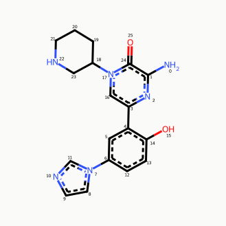 Nc1nc(-c2cc(-n3ccnc3)ccc2O)cn(C2CCCNC2)c1=O